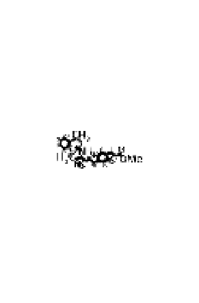 COC(=O)c1cc2cc3sc(-c4snc(C)c4NC(=O)O[C@H](C)c4ccccc4)cc3cc2s1